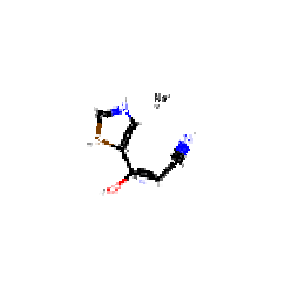 N#C/C=C(/[O-])c1cncs1.[Na+]